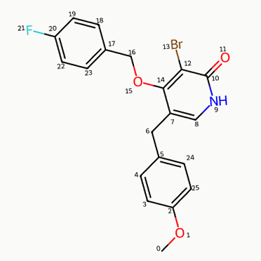 COc1ccc(Cc2c[nH]c(=O)c(Br)c2OCc2ccc(F)cc2)cc1